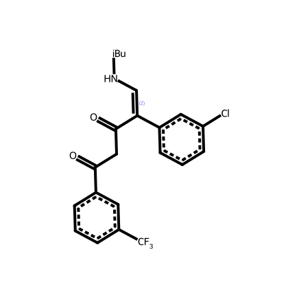 CCC(C)N/C=C(\C(=O)CC(=O)c1cccc(C(F)(F)F)c1)c1cccc(Cl)c1